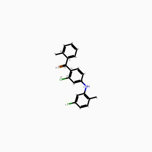 Cc1ccc(F)cc1Nc1ccc(C(=S)c2ccccc2C)c(Cl)c1